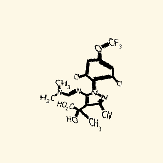 CN(C)C=Nc1c(C(C)(O)C(=O)O)c(C#N)nn1-c1c(Cl)cc(OC(F)(F)F)cc1Cl